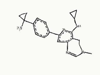 CN1C=Nc2cc(-c3ccc(C4(N)CC4)cc3)nc(NC3CC3)c2C1